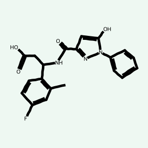 Cc1cc(F)ccc1C(CC(=O)O)NC(=O)c1cc(O)n(-c2ccccc2)n1